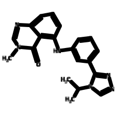 CC(C)n1cnnc1-c1cccc(Nc2cccc3ncn(C)c(=O)c23)c1